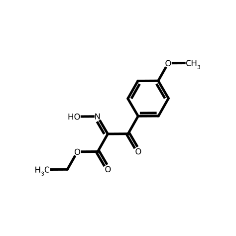 CCOC(=O)C(=NO)C(=O)c1ccc(OC)cc1